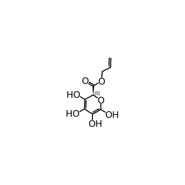 C=CCOC(=O)[C@H]1OC(O)=C(O)C(O)=C1O